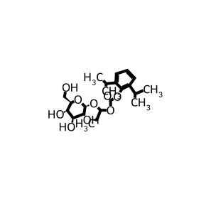 CCC(OC(=O)Oc1c(C(C)C)cccc1C(C)C)O[C@H]1O[C@H](CO)[C@@H](O)[C@H](O)[C@H]1O